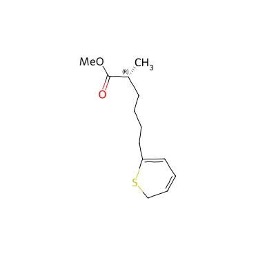 COC(=O)[C@H](C)CCCCC1=CC=CCS1